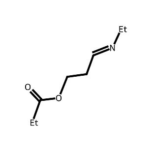 CCN=CCCOC(=O)CC